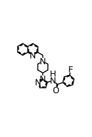 O=C(Nc1ccnn1C1CCN(Cc2ccc3ccccc3n2)CC1)c1cccc(F)c1